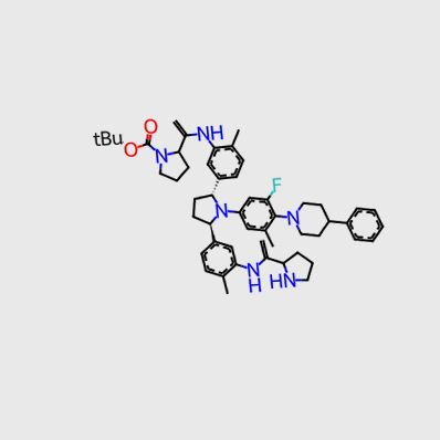 C=C(Nc1cc([C@H]2CC[C@H](c3ccc(C)c(NC(=C)C4CCCN4C(=O)OC(C)(C)C)c3)N2c2cc(C)c(N3CCC(c4ccccc4)CC3)c(F)c2)ccc1C)C1CCCN1